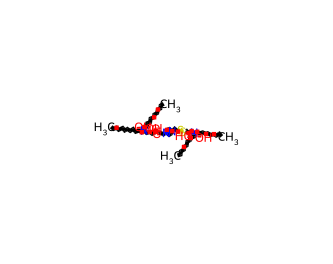 CCCCCCCCCCC(O)CN(CCCC(=O)OCCN1CCN(CCSSCCCN(CC(O)CCCCCCCC)CC(O)CCCCCCCC)CC1)CC(O)CCCCCCCCCC